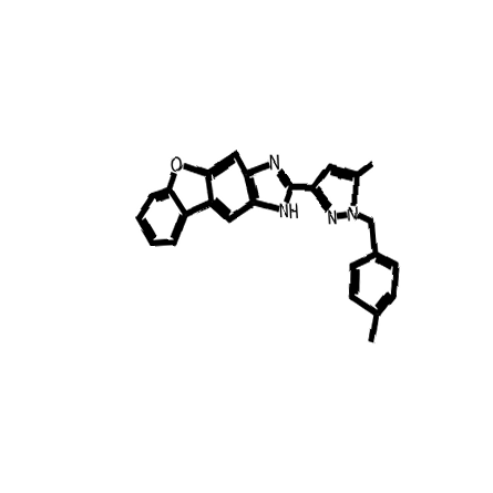 Cc1ccc(Cn2nc(-c3nc4cc5oc6ccccc6c5cc4[nH]3)cc2C)cc1